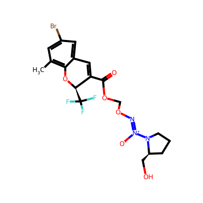 Cc1cc(Br)cc2c1O[C@H](C(F)(F)F)C(C(=O)OCO/N=[N+](\[O-])N1CCC[C@H]1CO)=C2